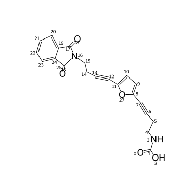 O=C(O)NCCC#Cc1ccc(C#CCCN2C(=O)c3ccccc3C2=O)o1